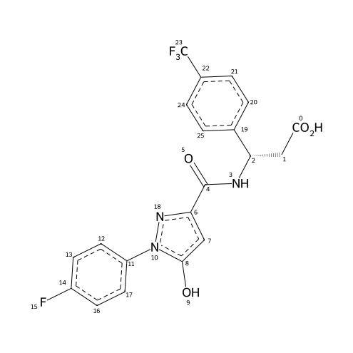 O=C(O)C[C@H](NC(=O)c1cc(O)n(-c2ccc(F)cc2)n1)c1ccc(C(F)(F)F)cc1